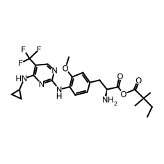 CCC(C)(C)C(=O)OC(=O)[C@@H](N)Cc1ccc(Nc2ncc(C(F)(F)F)c(NC3CC3)n2)c(OC)c1